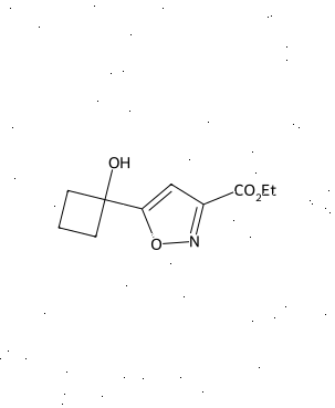 CCOC(=O)c1cc(C2(O)CCC2)on1